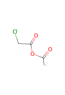 [CH2]C(=O)OC(=O)CCl